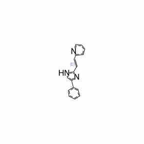 C(=C\c1nc(-c2ccccc2)c[nH]1)/c1ccccn1